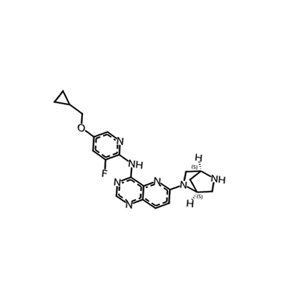 Fc1cc(OCC2CC2)cnc1Nc1ncnc2ccc(N3C[C@@H]4C[C@H]3CN4)nc12